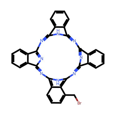 BrCc1cccc2c3nc4nc(nc5[nH]c(nc6nc(nc([nH]3)c12)-c1ccccc1-6)c1ccccc51)-c1ccccc1-4